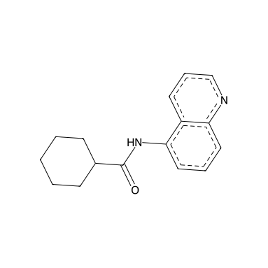 O=C(Nc1cccc2ncccc12)C1CCCCC1